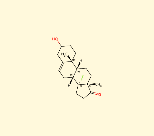 C[C@]12CCC(O)CC1=CC[C@@H]1[C@H]2CC[C@]2(C)C(=O)CC[C@@]12F